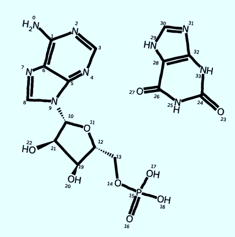 Nc1ncnc2c1ncn2[C@@H]1O[C@H](COP(=O)(O)O)[C@@H](O)[C@H]1O.O=c1[nH]c(=O)c2[nH]cnc2[nH]1